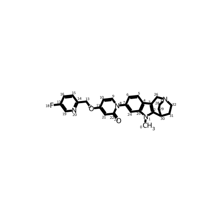 Cn1c2c(c3ccc(-n4ccc(OCc5ccc(F)cn5)cc4=O)cc31)CN1CCC2CC1